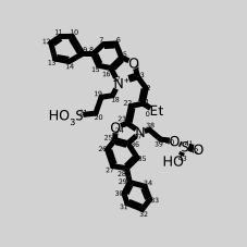 CCC(=Cc1oc2ccc(-c3ccccc3)cc2[n+]1CCCS(=O)(=O)O)C=C1Oc2ccc(-c3ccccc3)cc2N1CCOS(=O)O